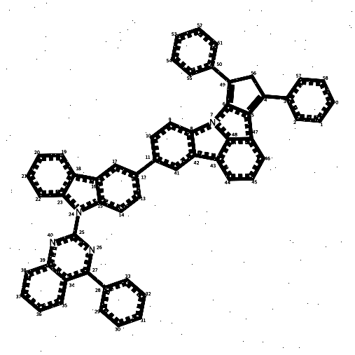 c1ccc(C2=c3c(n4c5ccc(-c6ccc7c(c6)c6ccccc6n7-c6nc(-c7ccccc7)c7ccccc7n6)cc5c5cccc3c54)=C(c3ccccc3)C2)cc1